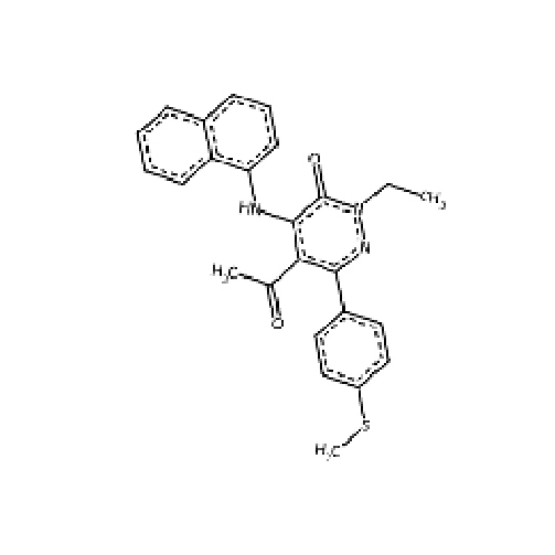 CCn1nc(-c2ccc(SC)cc2)c(C(C)=O)c(Nc2cccc3ccccc23)c1=O